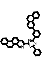 c1ccc(-c2nc(-c3cccc(-c4ccc5ccc6ccccc6c5c4)c3)nc(-c3cc4ccc5c6ccccc6ccc5c4cn3)n2)cc1